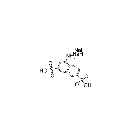 Nc1cc(S(=O)(=O)O)cc2cc(S(=O)(=O)O)ccc12.[NaH].[NaH]